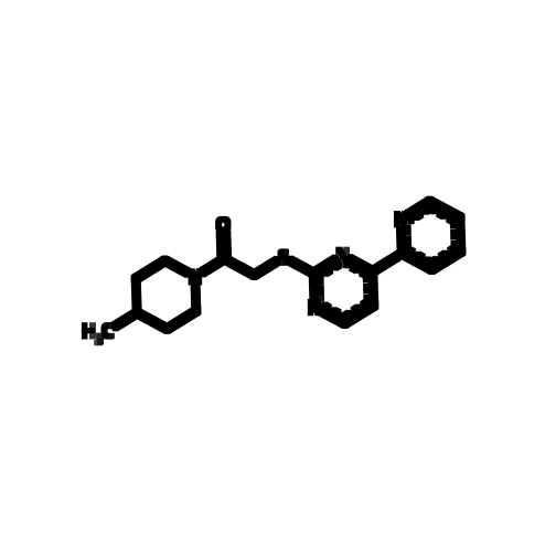 CC1CCN(C(=O)CSc2nccc(-c3ccccn3)n2)CC1